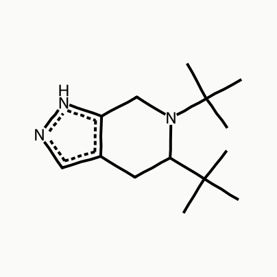 CC(C)(C)C1Cc2cn[nH]c2CN1C(C)(C)C